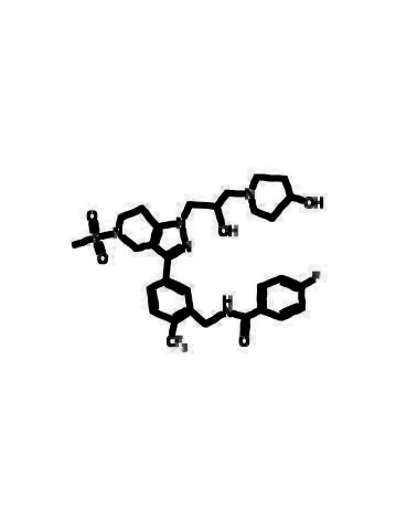 CS(=O)(=O)N1CCc2c(c(-c3ccc(C(F)(F)F)c(CNC(=O)c4ccc(F)cc4)c3)nn2CC(O)CN2CCC(O)CC2)C1